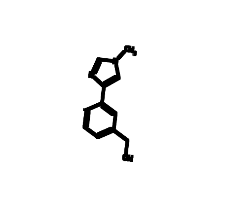 Cn1cnc(-c2[c]ccc(CO)c2)c1